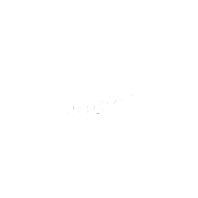 CC(C)(C)OC(=O)/C=C/c1c(N2CCC(CC(=O)O)CC2)nc2cc(C(=O)Nc3nc(C(C)(C)C)cs3)ccn2c1=O